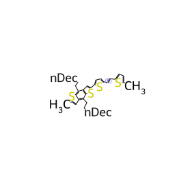 CCCCCCCCCCCCc1c2cc(-c3ccc(/C=C/c4ccc(C)s4)s3)sc2c(CCCCCCCCCCCC)c2cc(C)sc12